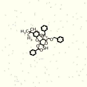 Cc1ccc(C(C)(C)C)cc1O[C@@H]1[C@@H](OC(=O)c2ccccc2)[C@H](S)O[C@H](COCc2ccccc2)[C@H]1OCc1ccccc1